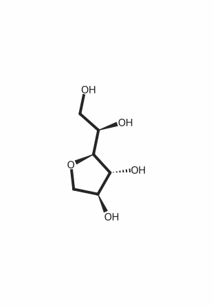 OC[C@@H](O)[C@@H]1OC[C@H](O)[C@H]1O